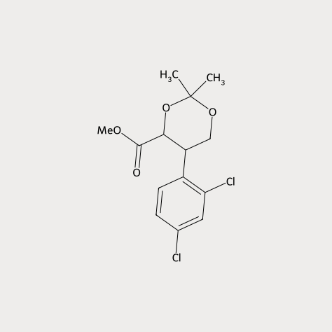 COC(=O)C1OC(C)(C)OCC1c1ccc(Cl)cc1Cl